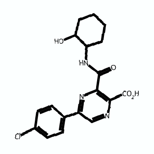 O=C(O)c1ncc(-c2ccc(Cl)cc2)nc1C(=O)NC1CCCCC1O